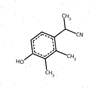 Cc1c(O)ccc(C(C)C#N)c1C